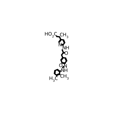 Cc1cccc(Nc2nc3ccc(CC(=O)CNc4ccc(C(C)CC(=O)O)cn4)cc3o2)c1C